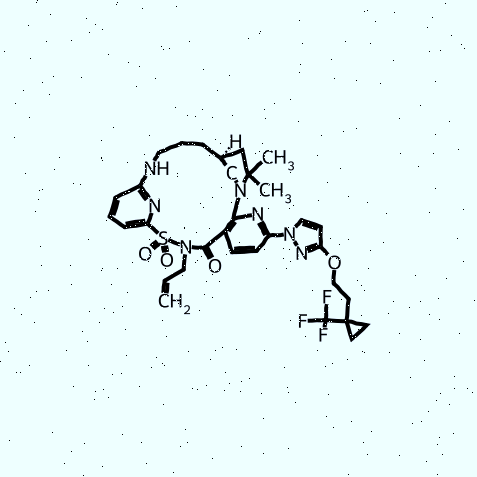 C=CCN1C(=O)c2ccc(-n3ccc(OCCC4(C(F)(F)F)CC4)n3)nc2N2C[C@@H](CCCNc3cccc(n3)S1(=O)=O)CC2(C)C